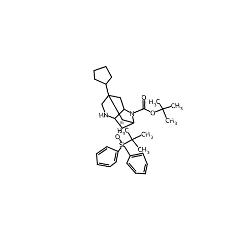 CC(C)(C)OC(=O)N1C2CC3(C4CCCC4)CNC2[C@@H](O[Si](c2ccccc2)(c2ccccc2)C(C)(C)C)C1C3